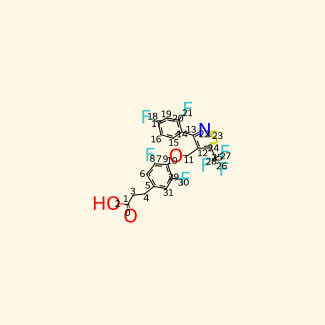 O=C(O)CCc1cc(F)c(OCc2c(-c3ccc(F)cc3F)nsc2C(F)(F)F)c(F)c1